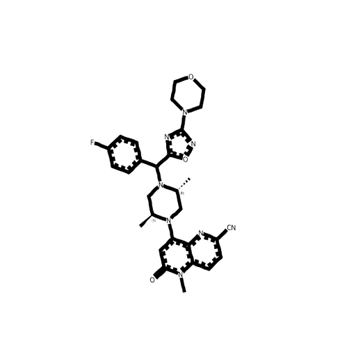 C[C@@H]1CN(c2cc(=O)n(C)c3ccc(C#N)nc23)[C@@H](C)CN1C(c1ccc(F)cc1)c1nc(N2CCOCC2)no1